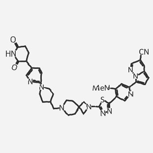 CNc1cc(-c2ccc3cc(C#N)cnn23)ncc1-c1nnc(N2CC3(CCN(CC4CCN(c5ccc(C6CCC(=O)NC6=O)cn5)CC4)CC3)C2)s1